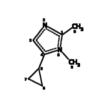 Cc1ncc(C2CC2)n1C